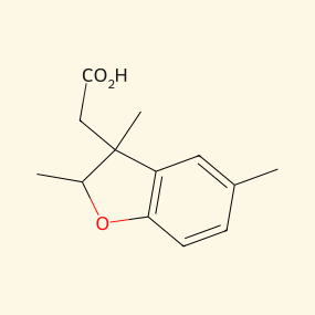 Cc1ccc2c(c1)C(C)(CC(=O)O)C(C)O2